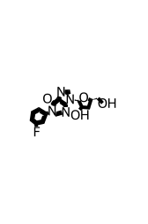 O=c1c2ncn([C@@H]3O[C@H](CO)CC3O)c2ncn1-c1cccc(F)c1